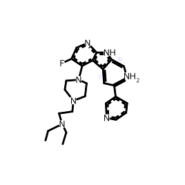 C=C(/C=c1\c(=C/N)[nH]c2ncc(F)c(N3CCN(CCN(CC)CC)CC3)c12)c1cccnc1